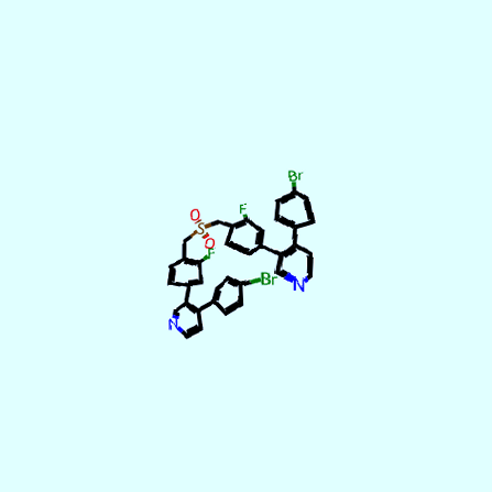 O=S(=O)(Cc1ccc(-c2cnccc2-c2ccc(Br)cc2)cc1F)Cc1ccc(-c2cnccc2-c2ccc(Br)cc2)cc1F